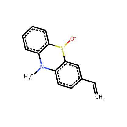 C=Cc1ccc2c(c1)[S+]([O-])c1ccccc1N2C